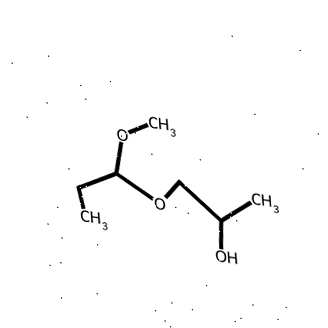 CCC(OC)OCC(C)O